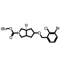 CC(C)(C)OC(=O)N1CC2CC(OCc3cccc(Br)c3Cl)C[C@@H]2C1